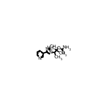 Cc1nc(-c2cccnc2)cn1C(C)C(C)(C)OC(N)=O